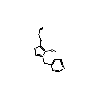 Cc1c(CCO)sc[n+]1Cc1ccncc1